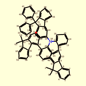 CC1(C)c2ccccc2-c2cc(-c3ccccc3N(c3ccc4c(c3)-c3ccccc3C4(c3ccccc3)c3ccccc3)c3ccccc3-c3cccc4c3-c3ccccc3C4(C)C)ccc21